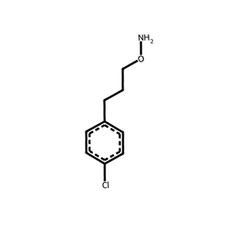 NOCCCc1ccc(Cl)cc1